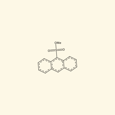 [CH2]OS(=O)(=O)c1c2ccccc2cc2ccccc12